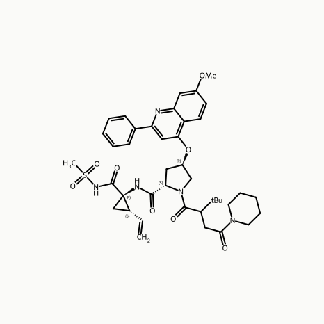 C=C[C@@H]1C[C@]1(NC(=O)[C@@H]1C[C@@H](Oc2cc(-c3ccccc3)nc3cc(OC)ccc23)CN1C(=O)C(CC(=O)N1CCCCC1)C(C)(C)C)C(=O)NS(C)(=O)=O